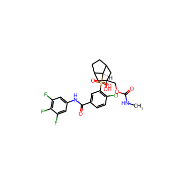 CNC(=O)OC[C@]1(O)CC2CCC(C1)[C@H]2S(=O)(=O)c1cc(C(=O)Nc2cc(F)c(F)c(F)c2)ccc1Cl